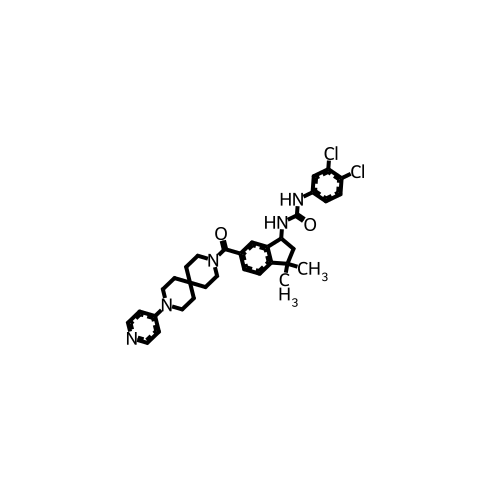 CC1(C)CC(NC(=O)Nc2ccc(Cl)c(Cl)c2)c2cc(C(=O)N3CCC4(CC3)CCN(c3ccncc3)CC4)ccc21